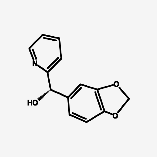 O[C@@H](c1ccc2c(c1)OCO2)c1ccccn1